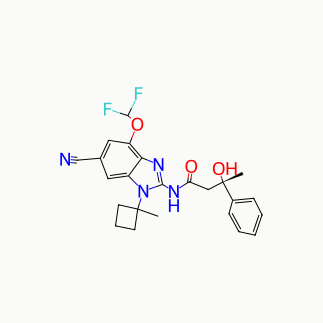 CC1(n2c(NC(=O)C[C@](C)(O)c3ccccc3)nc3c(OC(F)F)cc(C#N)cc32)CCC1